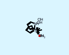 C[C](C)(C)[Ti]([CH3])([CH3])([CH3])([CH3])([CH3])([CH3])(=[SiH2])([C]1=CC=CC1)[c]1ccc[nH]1.Cl.Cl